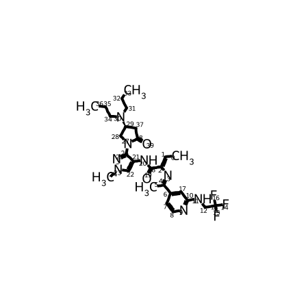 C/C=C(\N=C(/C)c1ccnc(NCC(F)(F)F)c1)C(=O)Nc1cn(C)nc1N1C[C@@H](N(CCC)CCC)CC1=O